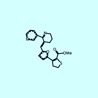 COC(=O)C1=C(c2ccc(/C=C3\CCCN=C3c3cccnc3)o2)CCS1